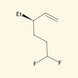 C=C[C@H](CC)CCC(F)F